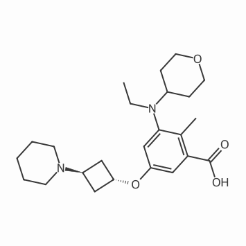 CCN(c1cc(O[C@H]2C[C@H](N3CCCCC3)C2)cc(C(=O)O)c1C)C1CCOCC1